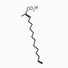 C=CCCCCCCCCCCC=C(C)C(=O)O